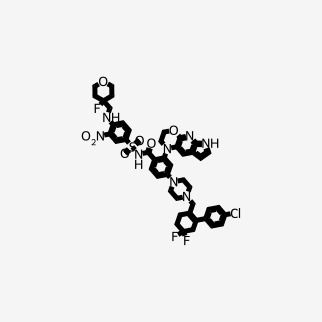 O=C(NS(=O)(=O)c1ccc(NCC2(F)CCOCC2)c([N+](=O)[O-])c1)c1ccc(N2CCN(CC3=C(c4ccc(Cl)cc4)CC(F)(F)CC3)CC2)cc1N1CCOc2nc3[nH]ccc3cc21